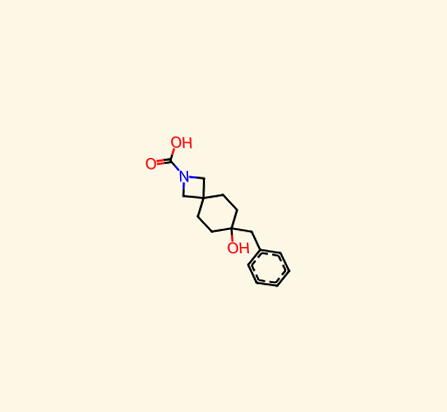 O=C(O)N1CC2(CCC(O)(Cc3ccccc3)CC2)C1